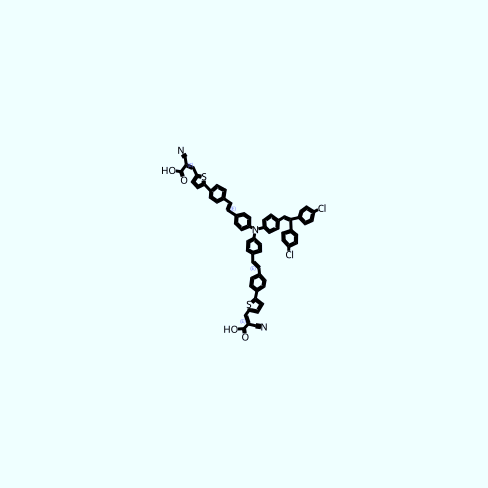 N#C/C(=C/c1ccc(-c2ccc(/C=C/c3ccc(N(c4ccc(C=C(c5ccc(Cl)cc5)c5ccc(Cl)cc5)cc4)c4ccc(/C=C/c5ccc(-c6ccc(/C=C(\C#N)C(=O)O)s6)cc5)cc4)cc3)cc2)s1)C(=O)O